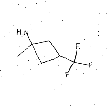 CC1(N)CC(C(F)(F)F)C1